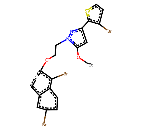 CCOc1cc(-c2sccc2Br)nn1CCOc1ccc2cc(Br)ccc2c1Br